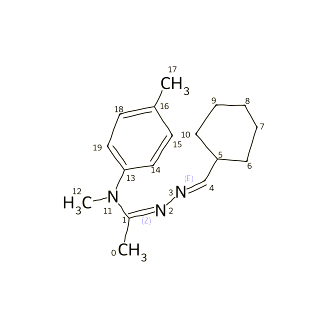 C/C(=N/N=C/C1CCCCC1)N(C)c1ccc(C)cc1